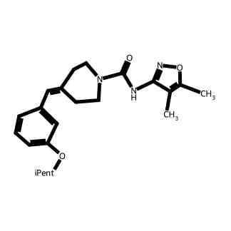 CCCC(C)Oc1cccc(C=C2CCN(C(=O)Nc3noc(C)c3C)CC2)c1